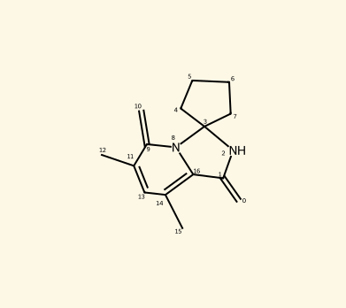 C=C1NC2(CCCC2)N2C(=C)C(C)=CC(C)=C12